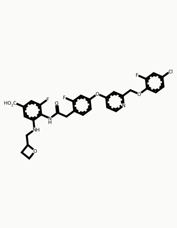 O=C(Cc1ccc(Oc2ccnc(COc3ccc(Cl)cc3F)c2)cc1F)Nc1c(F)cc(C(=O)O)cc1NCC1CCO1